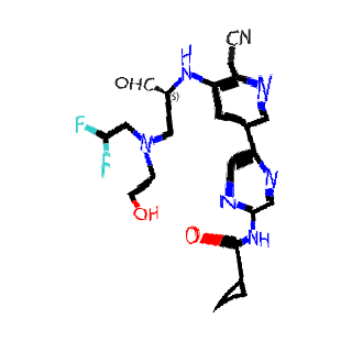 N#Cc1ncc(-c2cnc(NC(=O)C3CC3)cn2)cc1N[C@H](C=O)CN(CCO)CC(F)F